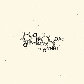 CC(=O)Oc1c(C)[nH]c(=O)c2c1ccc1nc(Nc3c(Cl)cccc3Cl)n(C)c12